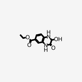 CCOC(=O)c1ccc2c(c1)NC(=O)C(O)N2